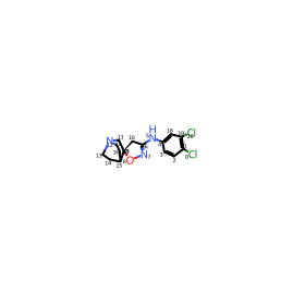 Clc1ccc(NC2=NO[C@@]3(C2)CN2CCC3CC2)cc1Cl